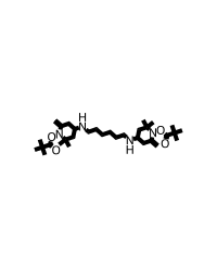 C=C1CC(NCCCCCCNC2CC(=C)N(OC(=O)C(C)(C)C)C(C)(C)C2)CC(C)(C)N1OC(=O)C(C)(C)C